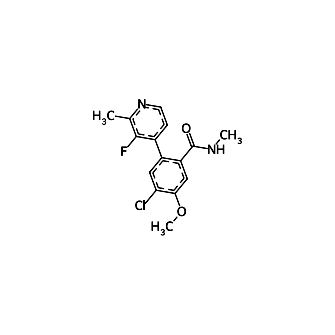 CNC(=O)c1cc(OC)c(Cl)cc1-c1ccnc(C)c1F